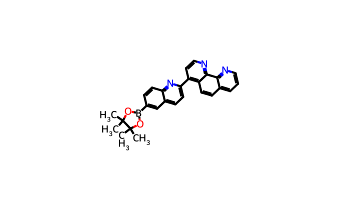 CC1(C)OB(c2ccc3nc(-c4ccnc5c4ccc4cccnc45)ccc3c2)OC1(C)C